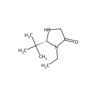 CCN1C(=O)CN[C@H]1C(C)(C)C